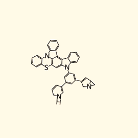 C1=CC(c2cc(C3=CC4CN4C3)cc(-n3c4ccccc4c4c5c6ccccc6n6c5c(cc43)Sc3ccccc3-6)c2)=CNC1